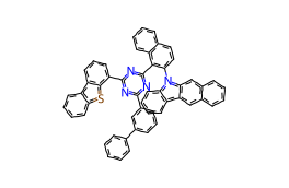 c1ccc(-c2cccc(-c3nc(-c4c(-n5c6ccccc6c6cc7ccccc7cc65)ccc5ccccc45)nc(-c4cccc5c4sc4ccccc45)n3)c2)cc1